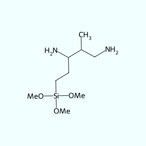 CO[Si](CCC(N)C(C)CN)(OC)OC